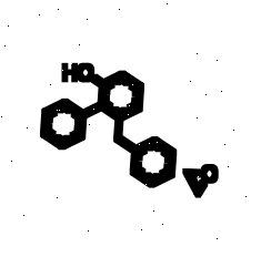 C1CO1.Oc1cccc(Cc2ccccc2)c1-c1ccccc1